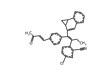 CC/C(=C(\C1=Cc2ccccc2C2CC12)c1ccc(/C=C/C(C)=O)cc1)c1ccc(Cl)cc1C#N